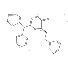 O=C(O[C@H](CCc1ccccc1)C(=O)O)C(c1ccccc1)c1ccccc1